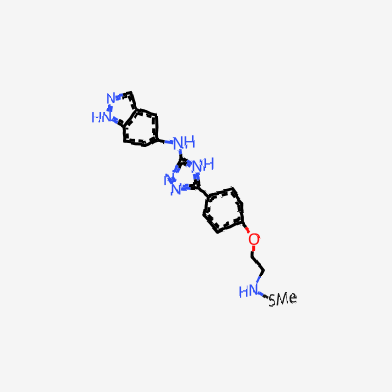 CSNCCOc1ccc(-c2nnc(Nc3ccc4[nH]ncc4c3)[nH]2)cc1